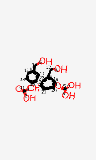 O=C(O)O.O=C(O)O.OCc1ccccc1.OCc1ccccc1